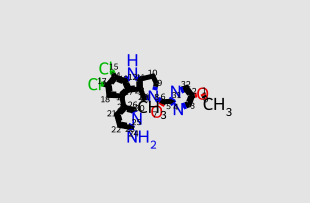 COc1cnc(C(=O)N2CCc3[nH]c4c(Cl)c(Cl)cc(-c5ccc(N)nc5)c4c3[C@H]2C)nc1